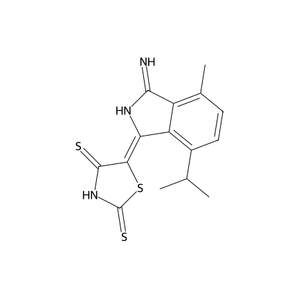 Cc1ccc(C(C)C)c2c1C(=N)N/C2=C1/SC(=S)NC1=S